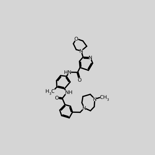 Cc1ccc(NC(=O)c2ccnc(N3CCOCC3)c2)cc1NC(=O)c1cccc(CN2CCCN(C)CC2)c1